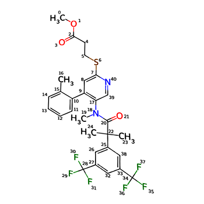 COC(=O)CCSc1cc(-c2ccccc2C)c(N(C)C(=O)C(C)(C)c2cc(C(F)(F)F)cc(C(F)(F)F)c2)cn1